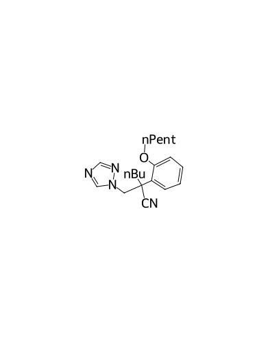 CCCCCOc1ccccc1C(C#N)(CCCC)Cn1cncn1